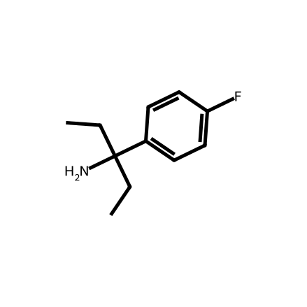 CCC(N)(CC)c1ccc(F)cc1